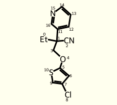 CCC(C#N)(COc1cc(Cl)cs1)c1cccnc1